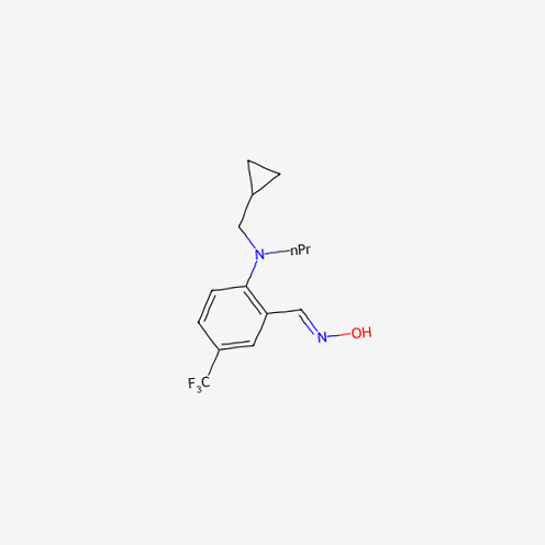 CCCN(CC1CC1)c1ccc(C(F)(F)F)cc1C=NO